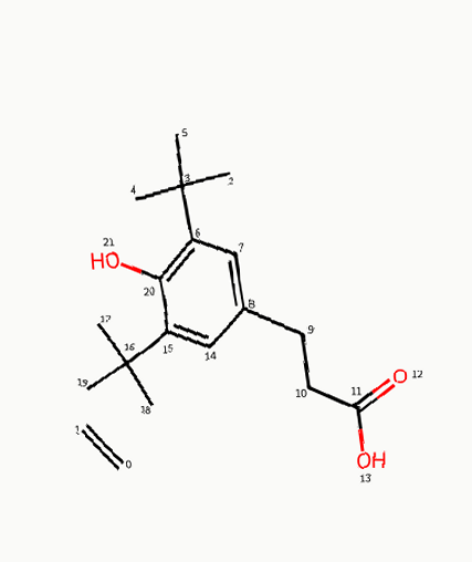 C=C.CC(C)(C)c1cc(CCC(=O)O)cc(C(C)(C)C)c1O